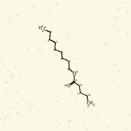 [CH2]CCCCCCCCOC(=O)CCCC